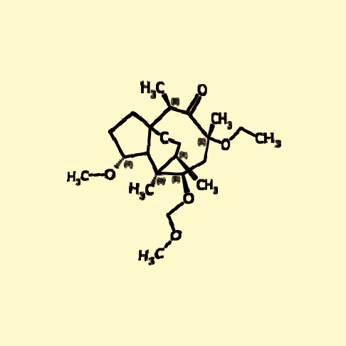 CCO[C@]1(C)C[C@@H](OCOC)[C@@]2(C)C3[C@H](OC)CCC3(CC[C@H]2C)[C@@H](C)C1=O